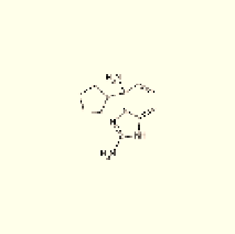 NC1=NN2C(=CC=CC2(N)C2CCCC2)N1